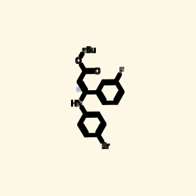 CCCCOC(=O)/C=C(/Nc1ccc(Br)cc1)c1cccc(F)c1